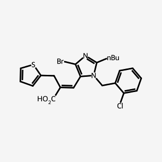 CCCCc1nc(Br)c(C=C(Cc2cccs2)C(=O)O)n1Cc1ccccc1Cl